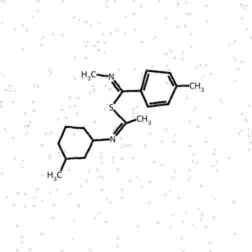 C/N=C(\S/C(C)=N\C1CCCC(C)C1)c1ccc(C)cc1